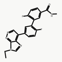 CCn1cnc2c(-c3ccc(F)c(-c4cc(C(=O)NC)ccc4F)c3)cnnc21